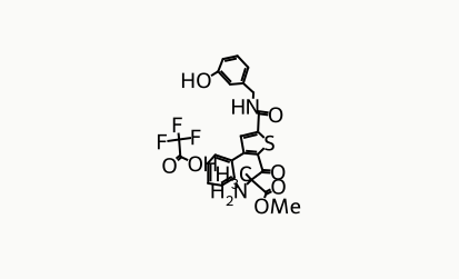 COC(=O)C(C)(N)C(=O)c1sc(C(=O)NCc2cccc(O)c2)cc1-c1ccccc1.O=C(O)C(F)(F)F